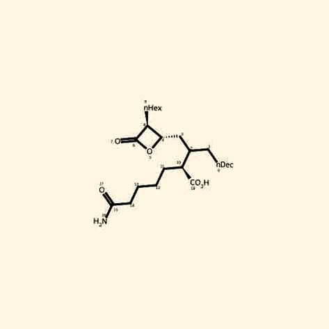 CCCCCCCCCCCC(C[C@@H]1OC(=O)[C@H]1CCCCCC)[C@H](CCCCC(N)=O)C(=O)O